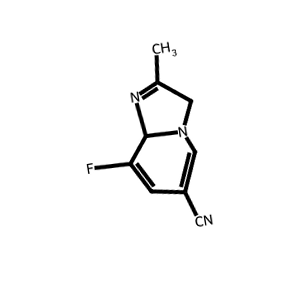 CC1=NC2C(F)=CC(C#N)=CN2C1